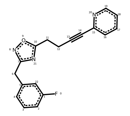 Fc1cccc(Cc2noc(CCC#Cc3ccccn3)n2)c1